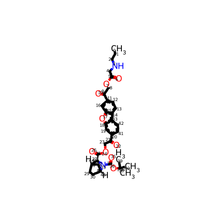 CCCNCC(=O)OCC(=O)c1ccc2c(c1)oc1cc(C(=O)COC(=O)[C@@H]3[C@H]4CC[C@H](C4)N3C(=O)OC(C)(C)C)ccc12